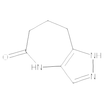 O=C1CCCc2[nH]ncc2N1